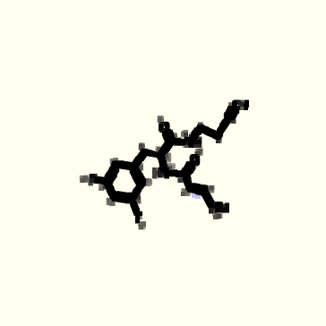 C#CCCNC(=O)[C@H](Cc1cc(F)cc(F)c1)NC(=O)/C=C/CCCC